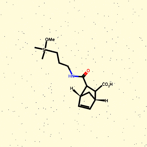 CO[Si](C)(C)CCCNC(=O)C1C(C(=O)O)[C@@H]2C=C[C@H]1C2